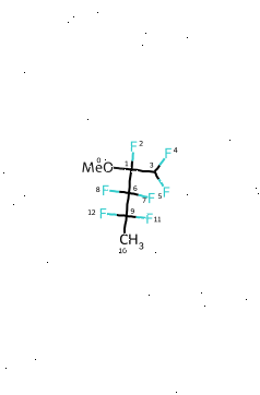 COC(F)(C(F)F)C(F)(F)C(C)(F)F